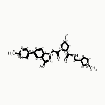 CC(=O)c1nn(CC(=O)N2C[C@H](F)C[C@H]2C(=O)NCC2CCN(C)C2)c2ccc(-c3cnc(C)nc3)cc12